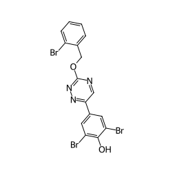 Oc1c(Br)cc(-c2cnc(OCc3ccccc3Br)nn2)cc1Br